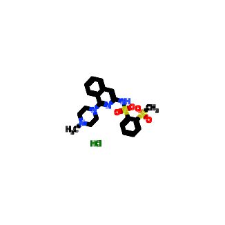 CN1CCN(c2nc(NS(=O)(=O)c3ccccc3S(C)(=O)=O)cc3ccccc23)CC1.Cl